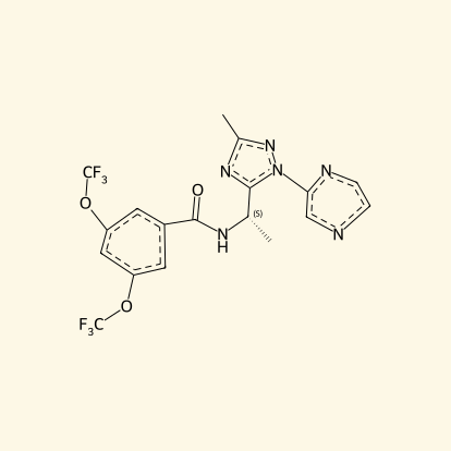 Cc1nc([C@H](C)NC(=O)c2cc(OC(F)(F)F)cc(OC(F)(F)F)c2)n(-c2cnccn2)n1